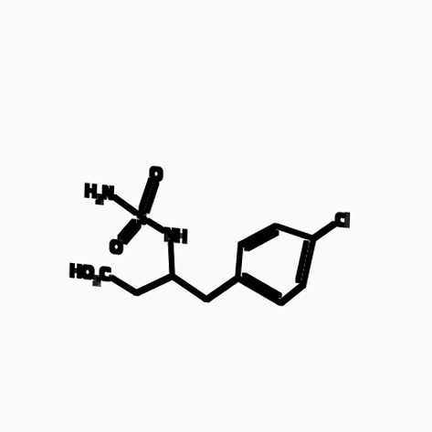 NS(=O)(=O)NC(CC(=O)O)Cc1ccc(Cl)cc1